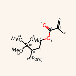 C=C(C)C(=O)OCCC(CCCCC)[Si](OC)(OC)OC